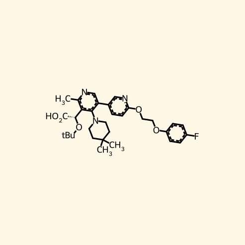 Cc1ncc(-c2ccc(OCCOc3ccc(F)cc3)nc2)c(N2CCC(C)(C)CC2)c1[C@H](OC(C)(C)C)C(=O)O